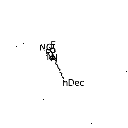 CCCCCCCCCCCCCCCCCCCCc1ccnc(-c2ccc(F)c(C#N)c2F)n1